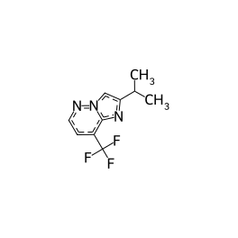 CC(C)c1cn2nccc(C(F)(F)F)c2n1